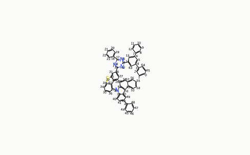 c1ccc(-c2cc(-c3ccccc3)cc(-c3nc(-c4ccccc4)nc(-c4ccc5c(c4)sc4cccc(-n6c7ccc(-c8ccccc8)cc7c7c8ccccc8ccc76)c45)n3)c2)cc1